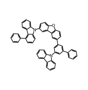 c1ccc(-c2cc(-c3ccc4oc5ccc(-n6c7ccccc7c7c(-c8ccccc8)cccc76)cc5c4c3)cc(-n3c4ccccc4c4ccccc43)c2)cc1